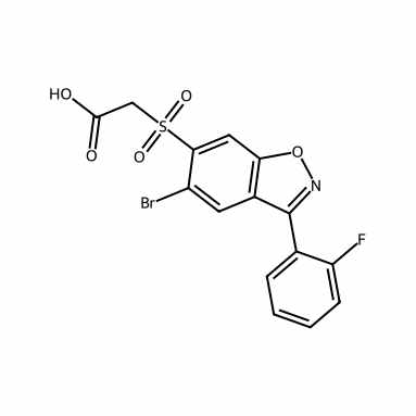 O=C(O)CS(=O)(=O)c1cc2onc(-c3ccccc3F)c2cc1Br